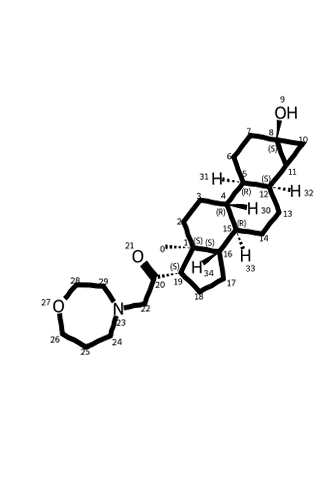 C[C@]12CC[C@@H]3[C@H]4CC[C@]5(O)CC5[C@H]4CC[C@H]3[C@@H]1CC[C@@H]2C(=O)CN1CCCOCC1